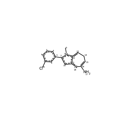 Cn1c(-c2cccc(Cl)c2)cc2c1=CCC=C(N)N=2